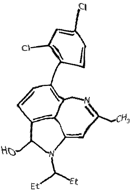 CCC(CC)N1c2cc(C)nc3c(-c4ccc(Cl)cc4Cl)ccc(c23)C1O